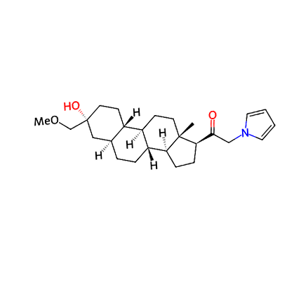 COC[C@@]1(O)CC[C@H]2[C@@H](CC[C@@H]3[C@@H]2CC[C@]2(C)[C@@H](C(=O)Cn4cccc4)CC[C@@H]32)C1